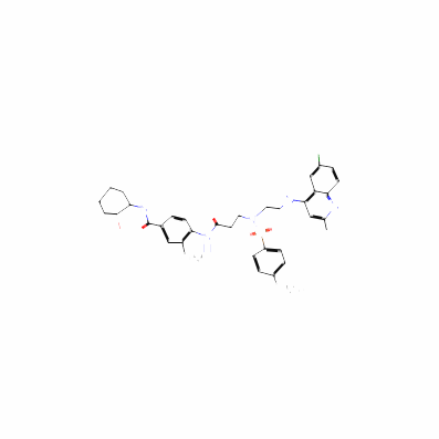 COc1ccc(S(=O)(=O)N(CCNc2cc(C)nc3ccc(Cl)cc23)CCC(=O)Nc2ccc(C(=O)NC3CCCC[C@@H]3O)cc2OC)cc1